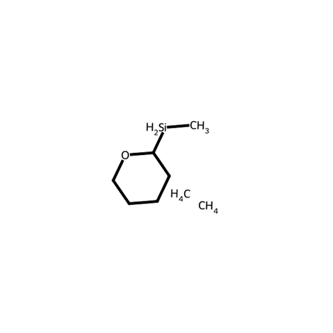 C.C.C[SiH2]C1CCCCO1